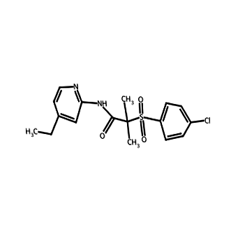 CCc1ccnc(NC(=O)C(C)(C)S(=O)(=O)c2ccc(Cl)cc2)c1